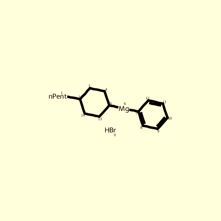 Br.CCCCCC1CC[CH]([Mg][c]2ccccc2)CC1